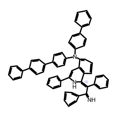 N=C(/C(=C1\NC(c2ccccc2)=Cc2c1cccc2N(c1ccc(-c2ccccc2)cc1)c1ccc(-c2ccc(-c3ccccc3)cc2)cc1)c1ccccc1)c1ccccc1